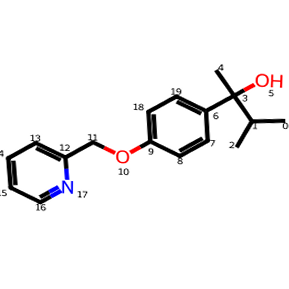 CC(C)C(C)(O)c1ccc(OCc2ccccn2)cc1